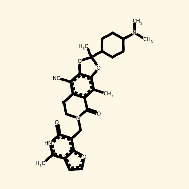 Cc1c2c(c(C#N)c3c1C(=O)N(Cc1c(=O)[nH]c(C)c4ccoc14)CC3)OC(C)(C1CCC(N(C)C)CC1)O2